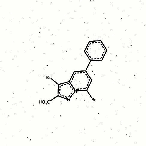 O=C(O)c1nn2c(Br)cc(-c3ccccc3)cc2c1Br